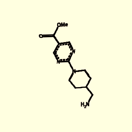 COC(=O)c1cnc(N2CCC(CN)CC2)nc1